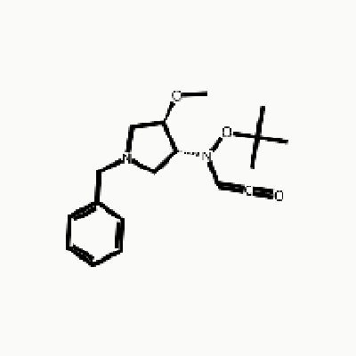 CO[C@@H]1CN(Cc2ccccc2)C[C@H]1N(C=C=O)OC(C)(C)C